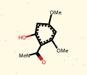 CNC(=O)c1c(O)cc(OC)cc1OC